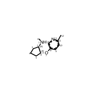 CN[C@@H]1CCC[C@H]1Oc1ccc(C)nc1